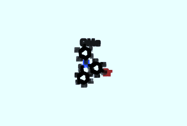 COc1ccc(N(Cc2c[c]ccc2)c2ccc(Br)cc2)cc1